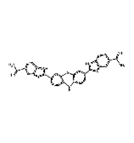 N=C(N)c1ccc2[nH]c(-c3ccc4c(c3)Sc3cc(-c5nc6cc(C(=N)N)ccc6[nH]5)ccc3N4)nc2c1